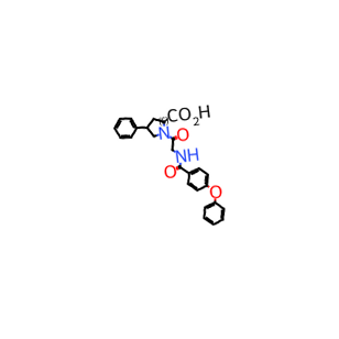 O=C(NCC(=O)N1CC(c2ccccc2)C[C@H]1C(=O)O)c1ccc(Oc2ccccc2)cc1